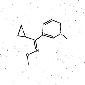 CON=C(C1=CN(C)CC=C1)C1CC1